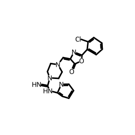 N=C(Nc1ccccn1)N1CCN(C=C2N=C(c3ccccc3Cl)OC2=O)CC1